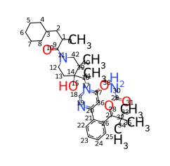 CC(CC1CCCCC1)C(=O)N1CCC(O)(Cn2cnc(-c3ccccc3C(OC(N)=O)C(C)(C)C)cc2=O)C(C)(C)C1